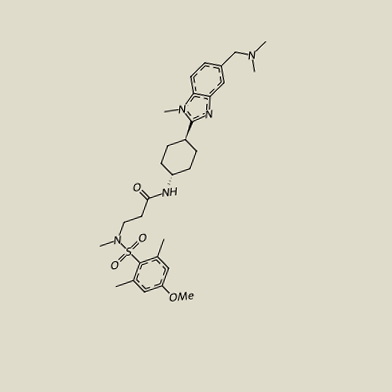 COc1cc(C)c(S(=O)(=O)N(C)CCC(=O)N[C@H]2CC[C@H](c3nc4cc(CN(C)C)ccc4n3C)CC2)c(C)c1